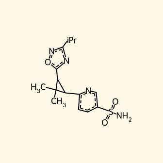 CC(C)c1noc(C2C(c3ccc(S(N)(=O)=O)cn3)C2(C)C)n1